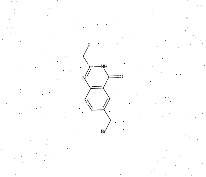 O=c1[nH]c(CF)nc2ccc(CBr)cc12